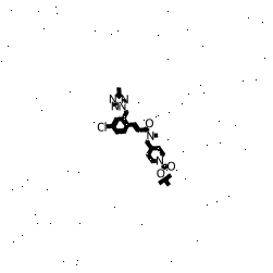 Cc1nnn(Cc2cc(Cl)ccc2/C=C/C(=O)N(C)CC2CCN(C(=O)OC(C)(C)C)CC2)n1